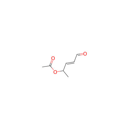 CC(=O)OC(C)C=CC=O